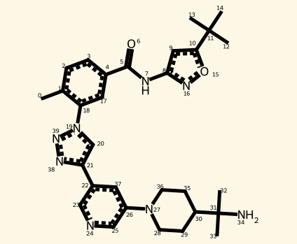 Cc1ccc(C(=O)Nc2cc(C(C)(C)C)on2)cc1-n1cc(-c2cncc(N3CCC(C(C)(C)N)CC3)c2)nn1